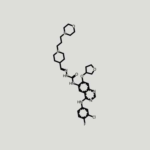 O=C(N/N=C/C1CCN(CCCN2CCOCC2)CC1)Nc1cc2c(Nc3ccc(F)c(Cl)c3)ncnc2cc1OC1CCOC1